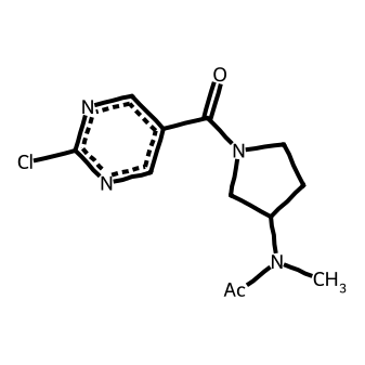 CC(=O)N(C)C1CCN(C(=O)c2cnc(Cl)nc2)C1